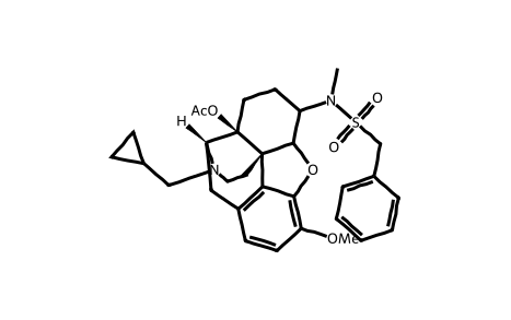 COc1ccc2c3c1OC1C(N(C)S(=O)(=O)Cc4ccccc4)CC[C@@]4(OC(C)=O)[C@@H](C2)N(CC2CC2)CC[C@]314